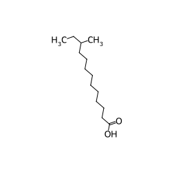 CCC(C)CCCCCCCCCC(=O)O